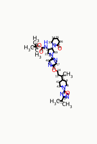 CC(C)c1noc(N2CCC(C(C)CCOc3cnc(N4C[C@H](NC(=O)OC(C)(C)C)[C@@H](N5CCCCC5=O)C4)cn3)CC2)n1